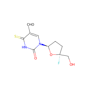 O=Cc1cn([C@H]2CC[C@@](F)(CO)O2)c(=O)[nH]c1=S